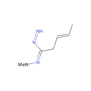 CC=CC/C(N=N)=N/NC